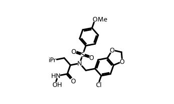 COc1ccc(S(=O)(=O)N(Cc2cc3c(cc2Cl)OCO3)C(CC(C)C)C(=O)NO)cc1